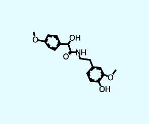 COc1ccc(C(O)C(=O)NCCc2ccc(O)c(OC)c2)cc1